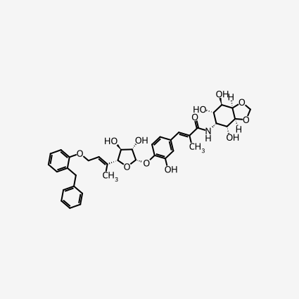 C/C(=C\c1ccc(O[C@@H]2O[C@H](/C(C)=C/COc3ccccc3Cc3ccccc3)[C@@H](O)[C@@H]2O)c(O)c1)C(=O)N[C@@H]1[C@H](O)[C@@H](O)[C@H]2OCO[C@H]2[C@@H]1O